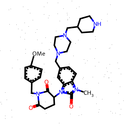 COc1ccc(CN2C(=O)CCC(n3c(=O)n(C)c4ccc(CN5CCN(CC6CCNCC6)CC5)cc43)C2=O)cc1